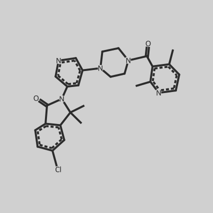 Cc1ccnc(C)c1C(=O)N1CCN(c2cncc(N3C(=O)c4ccc(Cl)cc4C3(C)C)c2)CC1